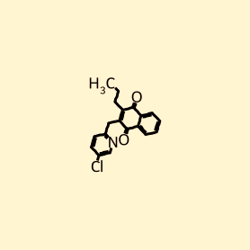 CCCC1=C(Cc2ccc(Cl)cn2)C(=O)c2ccccc2C1=O